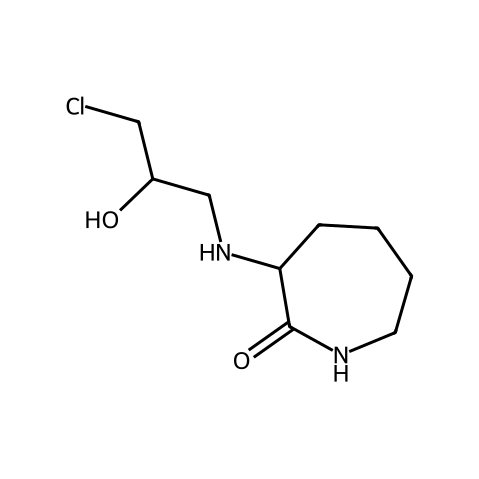 O=C1NCCCCC1NCC(O)CCl